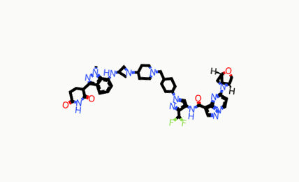 Cn1nc(C2CCC(=O)NC2=O)c2cccc(NC3CN(C4CCN(CC5CCC(n6cc(NC(=O)c7cnn8ccc(N9C[C@H]%10C[C@@H]9CO%10)nc78)c(C(F)F)n6)CC5)CC4)C3)c21